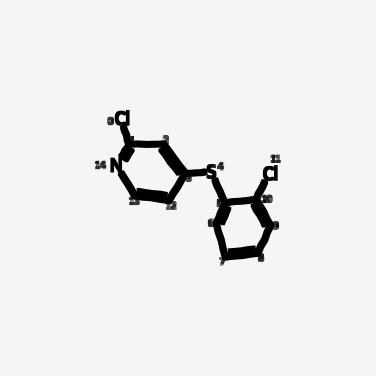 Clc1cc(Sc2ccccc2Cl)ccn1